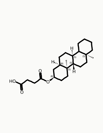 C[C@@]12CCCCC1[C@@H]1CC[C@@H]3C[C@H](OC(=O)CCC(=O)O)CC[C@]3(C)[C@H]1CC2